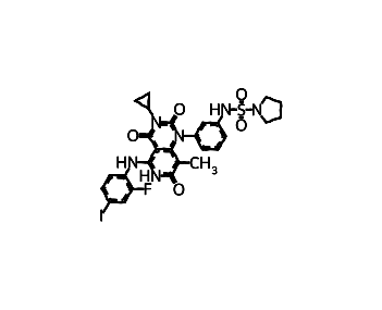 Cc1c(=O)[nH]c(Nc2ccc(I)cc2F)c2c(=O)n(C3CC3)c(=O)n(-c3cccc(NS(=O)(=O)N4CCCC4)c3)c12